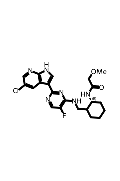 COCC(=O)N[C@@H]1CCCCC1CNc1nc(-c2c[nH]c3ncc(Cl)cc23)ncc1F